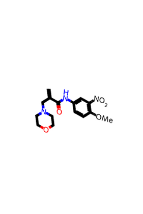 C=C(CN1CCOCC1)C(=O)Nc1ccc(OC)c([N+](=O)[O-])c1